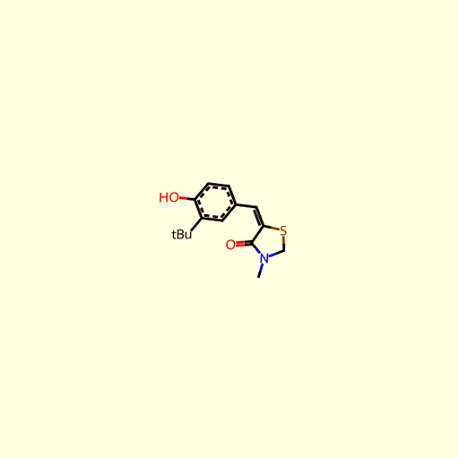 CN1CSC(=Cc2ccc(O)c(C(C)(C)C)c2)C1=O